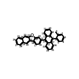 Cc1ccccc1-c1c2ccccc2c(-c2ccc3c(c2)oc2cc4ccccc4cc23)c2ccccc12